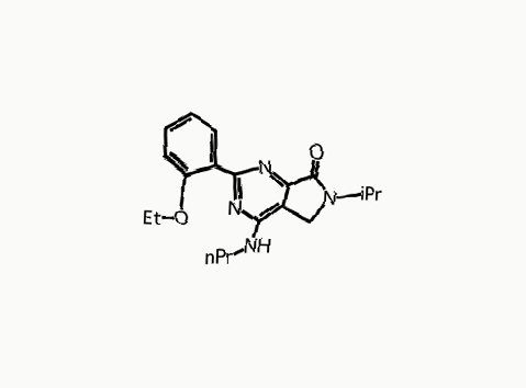 CCCNc1nc(-c2ccccc2OCC)nc2c1CN(C(C)C)C2=O